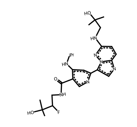 CC(C)Nc1cc(-c2cnc3ccc(NCC(C)(C)O)nn23)ncc1C(=O)NCC(F)C(C)(C)O